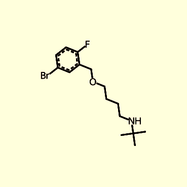 CC(C)(C)NCCCCOCc1cc(Br)ccc1F